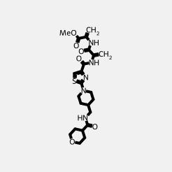 C=C(NC(=O)c1csc(N2CCC(CNC(=O)C3CCOCC3)CC2)n1)C(=O)NC(=C)C(=O)OC